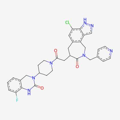 O=C(CC1Cc2cc(Cl)c3[nH]ncc3c2CN(Cc2ccncc2)C1=O)N1CCC(N2Cc3cccc(F)c3NC2=O)CC1